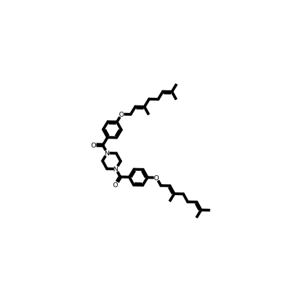 CC(C)=CCC/C(C)=C/COc1ccc(C(=O)N2CCN(C(=O)c3ccc(OC/C=C(\C)CCC=C(C)C)cc3)CC2)cc1